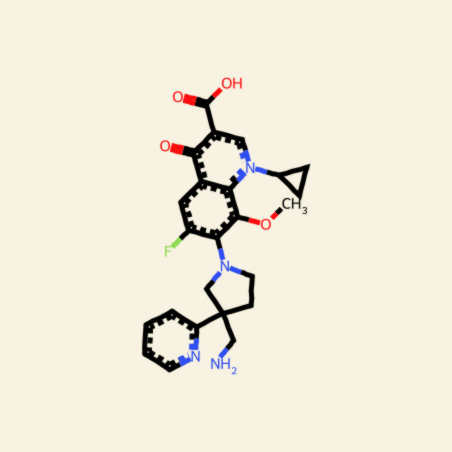 COc1c(N2CCC(CN)(c3ccccn3)C2)c(F)cc2c(=O)c(C(=O)O)cn(C3CC3)c12